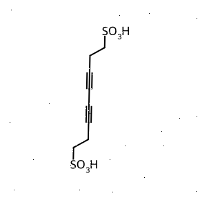 O=S(=O)(O)CCC#CC#CCCS(=O)(=O)O